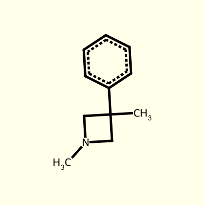 CN1CC(C)(c2ccccc2)C1